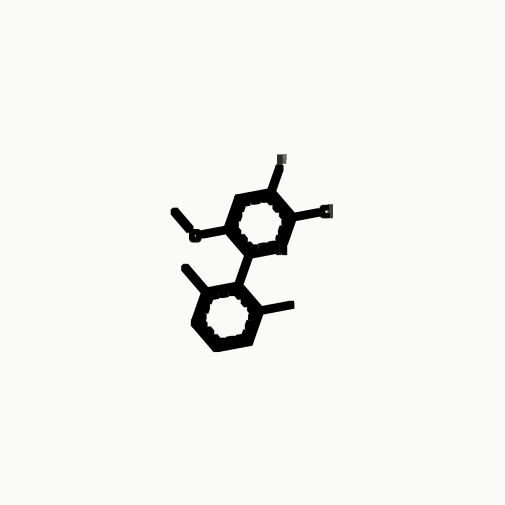 COc1cc(F)c(Cl)nc1-c1c(C)cccc1C